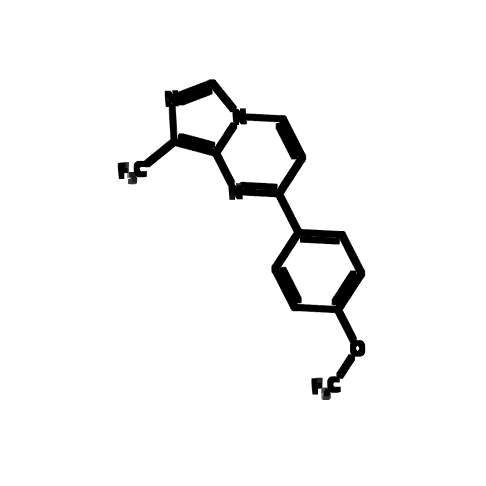 FC(F)(F)Oc1ccc(-c2ccn3cnc(C(F)(F)F)c3n2)cc1